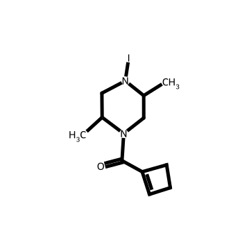 CC1CN(C(=O)C2=CCC2)C(C)CN1I